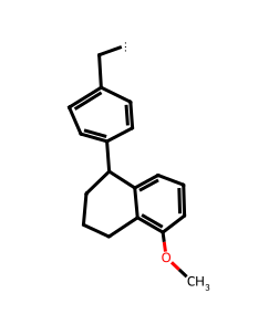 [C]Cc1ccc(C2CCCc3c(OC)cccc32)cc1